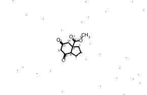 COC(=O)C12CCCC1C(=O)CC(=O)C2